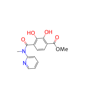 COC(=O)c1ccc(C(=O)N(C)c2ccccn2)c(O)c1O